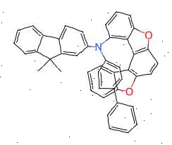 CC1(C)c2ccccc2-c2ccc(N(c3ccc(-c4ccccc4)cc3)c3cccc4oc5ccc6oc7ccccc7c6c5c34)cc21